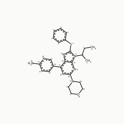 CCC(C)n1c(Sc2ccccc2)nc2c(-c3cnc(N)nc3)nc(N3CCOCC3)nc21